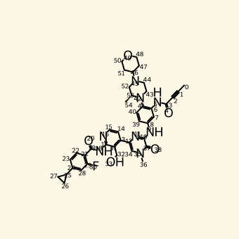 CC#CC(=O)Nc1cc(Nc2nc(-c3ccnc(NC(=O)c4ccc(C5CC5)cc4F)c3CO)cn(C)c2=O)ccc1N1CCN(C2CCOCC2)C[C@@H]1C